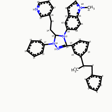 CC(Cc1ccccc1)c1cccc(C2=NN(c3ccccc3)C(CCc3cccnc3)N2c2ccc3c(ccn3C)c2)c1